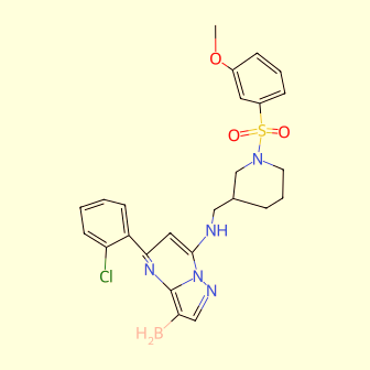 Bc1cnn2c(NCC3CCCN(S(=O)(=O)c4cccc(OC)c4)C3)cc(-c3ccccc3Cl)nc12